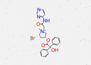 C[N+]1(CC(=O)Nc2ccncn2)CC[C@@H](OC(=O)C(O)(c2ccccc2)c2ccccc2)C1.[Br-]